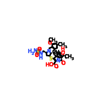 COc1cc(C)cc(C)c1CN1C[C@@H](SC2=C(C(=O)O)N3C(=O)[C@H]([C@@H](C)O)[C@H]3[C@H]2C)C[C@H]1CNS(N)(=O)=O